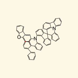 c1ccc(-c2ccccc2-c2ccccc2N(c2ccc3oc4ccccc4c3c2)c2cccc3c2-c2ccccc2C32c3ccccc3-n3c4ccccc4c4cccc2c43)cc1